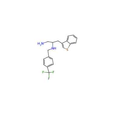 NCC(Cc1csc2ccccc12)NCc1ccc(C(F)(F)F)cc1